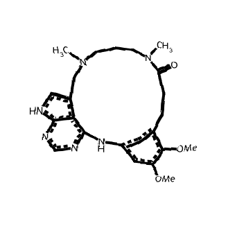 COc1cc2cc(c1OC)CCC(=O)N(C)CCCN(C)Cc1c[nH]c3ncnc(c13)N2